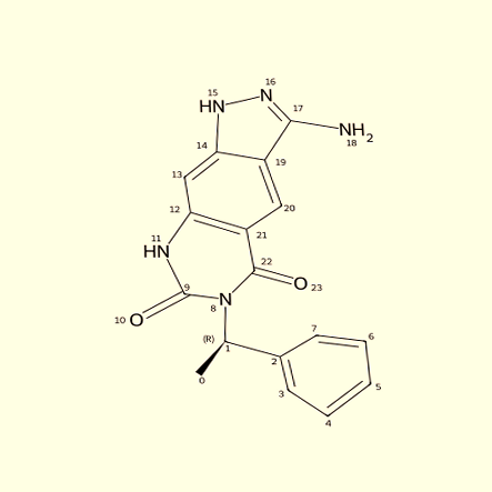 C[C@H](c1ccccc1)n1c(=O)[nH]c2cc3[nH]nc(N)c3cc2c1=O